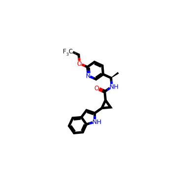 C[C@@H](NC(=O)C1CC1c1cc2ccccc2[nH]1)c1ccc(OCC(F)(F)F)nc1